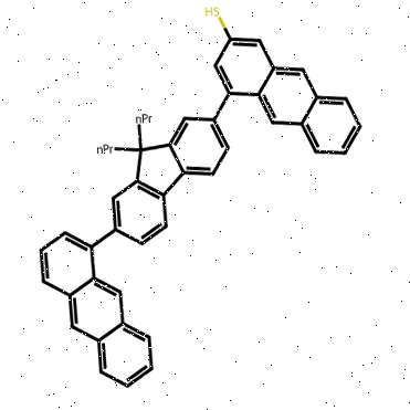 CCCC1(CCC)c2cc(-c3cccc4cc5ccccc5cc34)ccc2-c2ccc(-c3cc(S)cc4cc5ccccc5cc34)cc21